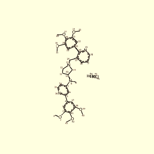 COc1cc(-c2cc(N(C)[C@H]3CCN(Cc4cccnc4-c4cc(OC)c(OC)c(OC)c4)C3)ccn2)cc(OC)c1OC.Cl.Cl.Cl